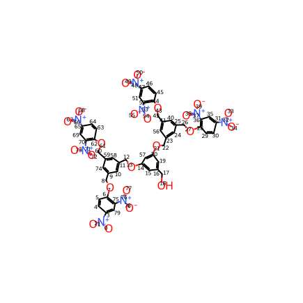 O=[N+]([O-])c1ccc(OCc2cc(COc3cc(CO)cc(OCc4cc(COc5ccc([N+](=O)[O-])cc5[N+](=O)[O-])cc(COc5ccc([N+](=O)[O-])cc5[N+](=O)[O-])c4)c3)cc(COc3ccc([N+](=O)[O-])cc3[N+](=O)[O-])c2)c([N+](=O)[O-])c1